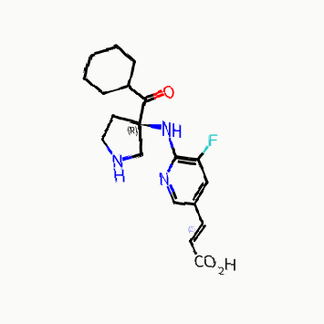 O=C(O)/C=C/c1cnc(N[C@]2(C(=O)C3CCCCC3)CCNC2)c(F)c1